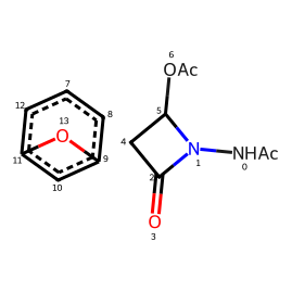 CC(=O)NN1C(=O)CC1OC(C)=O.c1cc2cc(c1)O2